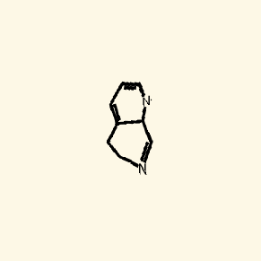 C1=C[N]C2C=NCCC2=C1